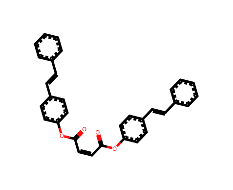 O=C(/C=C\C(=O)Oc1ccc(C=Cc2ccccc2)cc1)Oc1ccc(C=Cc2ccccc2)cc1